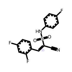 N#C/C(=C/c1ccc(F)cc1F)S(=O)(=O)Nc1ccc(F)cc1